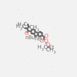 C/C=C(C)\C(=C/C)C(=O)c1ccc2c(c1)C(CCCC)(CCCC)c1cc(C(=O)C(=O)OCOC(C)(C)CC)ccc1-2